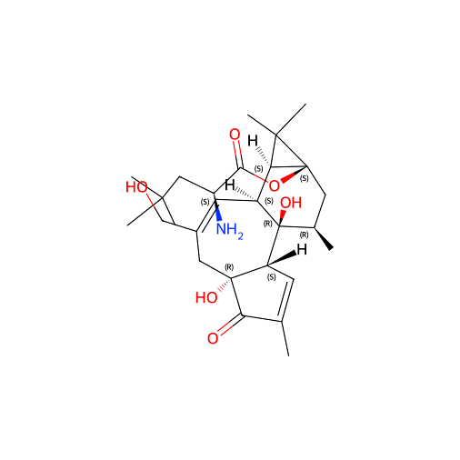 CC1=C[C@H]2[C@@]3(O)[C@H](C)C[C@]4(OC(=O)[C@@H](N)CC(C)(C)C)[C@@H]([C@@H]3C=C(CO)C[C@]2(O)C1=O)C4(C)C